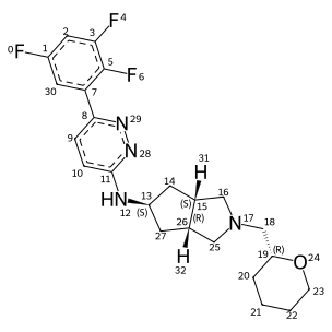 Fc1cc(F)c(F)c(-c2ccc(N[C@H]3C[C@@H]4CN(C[C@H]5CCCCO5)C[C@@H]4C3)nn2)c1